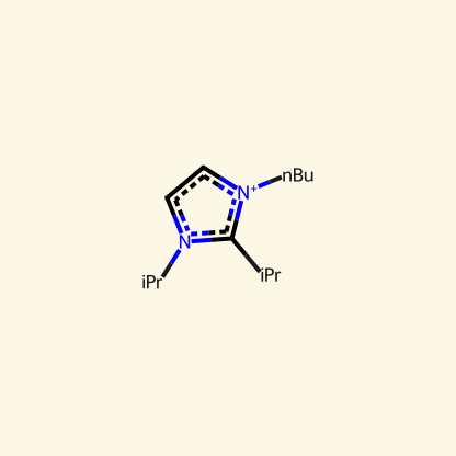 CCCC[n+]1ccn(C(C)C)c1C(C)C